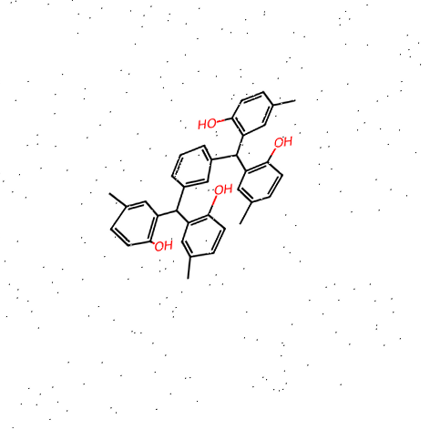 Cc1ccc(O)c(C(c2cccc(C(c3cc(C)ccc3O)c3cc(C)ccc3O)c2)c2cc(C)ccc2O)c1